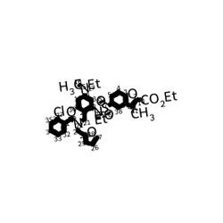 CCOC(=O)c1oc2ccc(S(=O)(=O)N(CC)c3cc(N(C)CC)ccc3CN(Cc3ccco3)C(=O)c3ccccc3Cl)cc2c1C